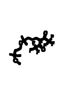 COC(C)(C)CCOC(C)(C)CCCN(C(=O)C(F)(F)F)C(=O)C(F)(F)F